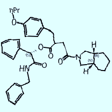 CCCOc1ccc(CC(CC(=O)N2C[C@H]3CCCC[C@H]3C2)C(=O)O[C@H](C(=O)NCc2ccccc2)c2ccccc2)cc1